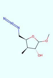 COC1O[C@H](CN=[N+]=[N-])[C@H](C)[C@H]1O